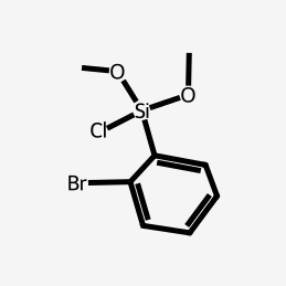 CO[Si](Cl)(OC)c1ccccc1Br